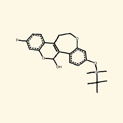 CC(C)(C)[Si](C)(C)Oc1ccc2c(c1)OCCC1=C2C(O)Oc2cc(F)ccc21